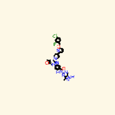 Cc1n[nH]c2cnc(NC(=O)c3ccc4c(c3)nc(CN3CC=C(c5cccc(OCc6ccc(Cl)cc6F)n5)CC3)n4C[C@@H]3CCO3)nc12